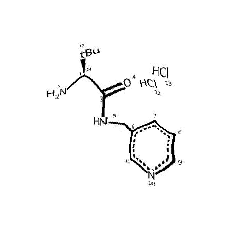 CC(C)(C)[C@H](N)C(=O)Nc1cccnc1.Cl.Cl